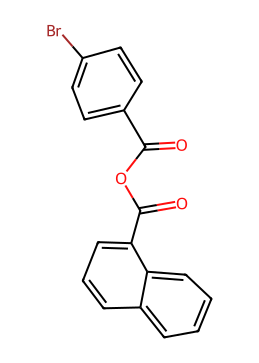 O=C(OC(=O)c1cccc2ccccc12)c1ccc(Br)cc1